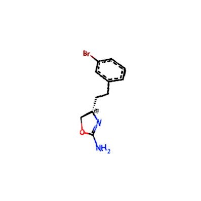 NC1=N[C@@H](CCc2cccc(Br)c2)CO1